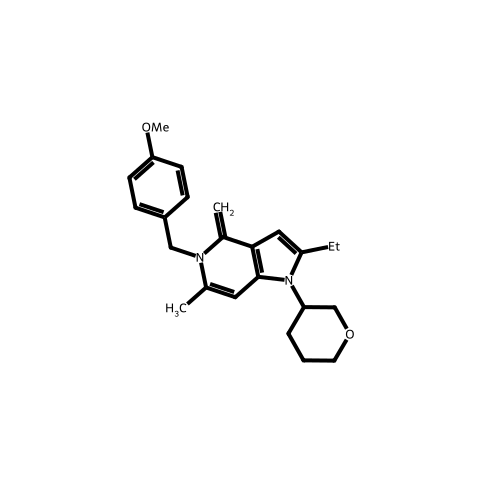 C=C1c2cc(CC)n(C3CCCOC3)c2C=C(C)N1Cc1ccc(OC)cc1